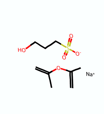 C=C(C)OC(=C)C.O=S(=O)([O-])CCCO.[Na+]